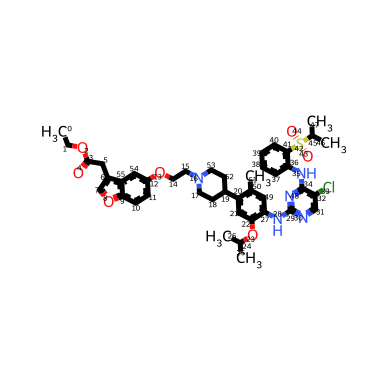 CCOC(=O)Cc1coc2ccc(OCCN3CCC(c4cc(OC(C)C)c(Nc5ncc(Cl)c(Nc6ccccc6S(=O)(=O)C(C)C)n5)cc4C)CC3)cc12